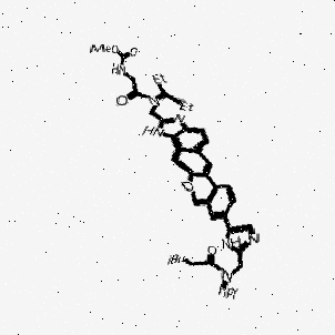 CCCN(Cc1ncc(-c2ccc3c(c2)COc2cc4c(ccc5nc(CN(C(=O)CNC(=O)OC)C(CC)CC)[nH]c54)cc2-3)[nH]1)C(=O)CC(C)CC